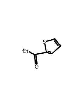 C[CH]C(=O)c1cccs1